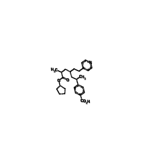 CC(CC(CCc1ccncc1)CC(C)c1ccc(C(=O)O)cc1)C(=O)OC1CCCC1